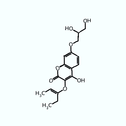 CC=C(CC)Oc1c(O)c2ccc(OCC(O)CO)cc2oc1=O